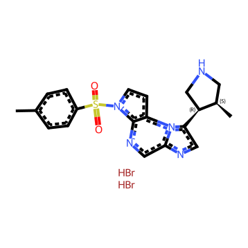 Br.Br.Cc1ccc(S(=O)(=O)n2ccc3c2ncc2ncc([C@H]4CNC[C@H]4C)n23)cc1